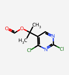 CC(C)(OC=O)c1cnc(Cl)nc1Cl